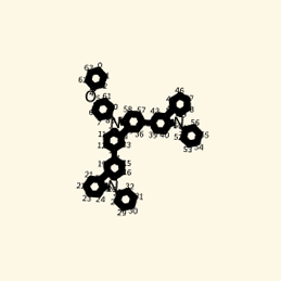 c1ccc(Oc2ccc(-n3c4ccc(-c5ccc6c(c5)c5ccccc5n6-c5ccccc5)cc4c4cc(-c5ccc6c(c5)c5ccccc5n6-c5ccccc5)ccc43)cc2)cc1